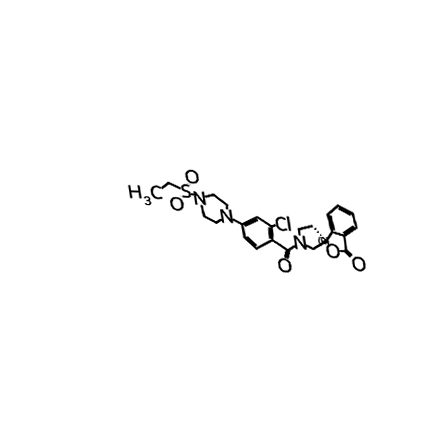 CCS(=O)(=O)N1CCN(c2ccc(C(=O)N3CC[C@@]4(C3)OC(=O)c3ccccc34)c(Cl)c2)CC1